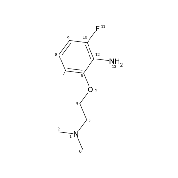 CN(C)CCOc1cccc(F)c1N